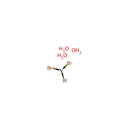 O.O.O.[Br][V]([Br])[Br]